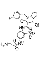 NCCS(=O)(=O)Nc1ccc2c(c1)S(=O)(=O)N=C(C1=C(O)C3CCCC3N(Cc3ccc(F)cc3)C1=O)N2